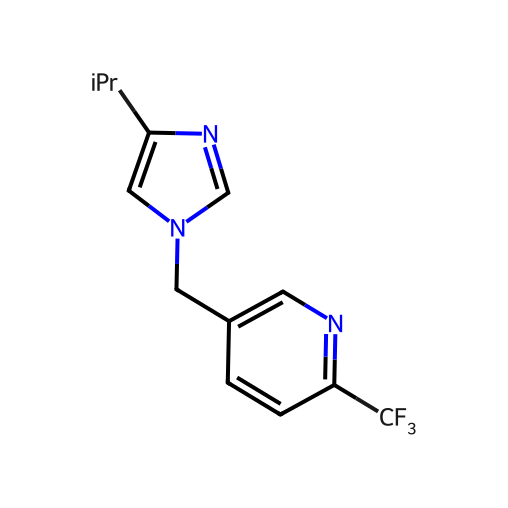 CC(C)c1cn(Cc2ccc(C(F)(F)F)nc2)cn1